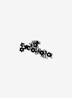 CC(C)c1ccccc1[C@H]1CCCN1C1CC2(CCN(c3ccc(C(=O)NS(=O)(=O)c4cc5c(c([N+](=O)[O-])c4)N[C@@H](C4CCC(C)(C)CC4)CO5)c(Oc4cc5c(F)c[nH]c5nc4OC[C@H](C)O)c3)CC2)C1